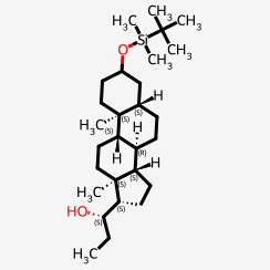 CC[C@H](O)[C@H]1CC[C@H]2[C@@H]3CC[C@H]4CC(O[Si](C)(C)C(C)(C)C)CC[C@]4(C)[C@H]3CC[C@]12C